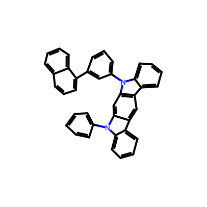 c1ccc(-n2c3ccccc3c3cc4c5ccccc5n(-c5cccc(-c6cccc7ccccc67)c5)c4cc32)cc1